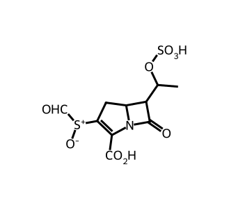 CC(OS(=O)(=O)O)C1C(=O)N2C(C(=O)O)=C([S+]([O-])C=O)CC12